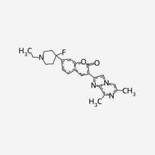 CCN1CCC(F)(c2ccc3cc(-c4cn5cc(C)nc(C)c5n4)c(=O)oc3c2)CC1